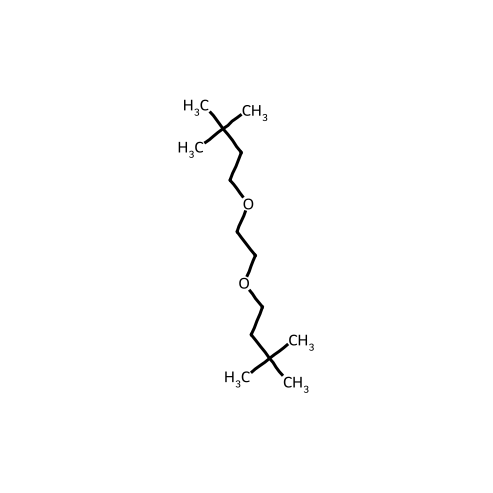 CC(C)(C)CCOCCOCCC(C)(C)C